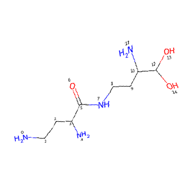 NCCC(N)C(=O)NCCC(N)C(O)O